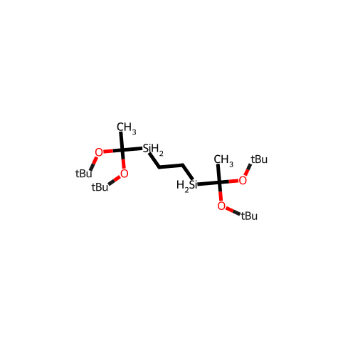 CC(C)(C)OC(C)(OC(C)(C)C)[SiH2]CC[SiH2]C(C)(OC(C)(C)C)OC(C)(C)C